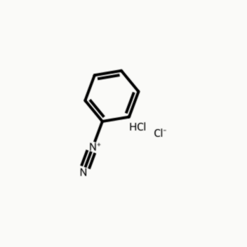 Cl.N#[N+]c1ccccc1.[Cl-]